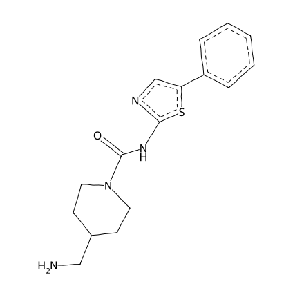 NCC1CCN(C(=O)Nc2ncc(-c3ccccc3)s2)CC1